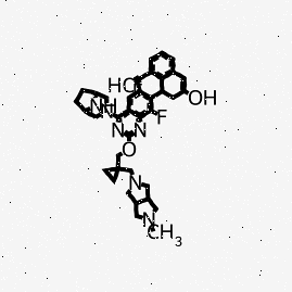 C#Cc1cccc2c1C(c1c(F)cc3c(N4CC5CCC(C4)N5)nc(OCC4(CN5CC6CN(C)CC6C5)CC4)nc3c1F)CC(O)=C2